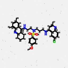 COc1ccc(S(=O)(=O)N(CCCNc2cc(C)nc3ccc(Cl)cc23)CCNc2c3c(nc4c(C)cc(C)cc24)CCCC3)cc1